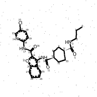 CCCNC(=O)[C@H]1CC[C@H](C(=O)Nc2c(C(=O)Nc3ccc(Cl)cn3)oc3ccccc23)CC1